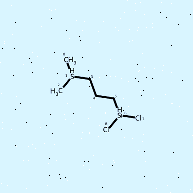 C[SH](C)CCC[SiH](Cl)Cl